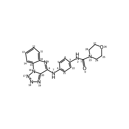 O=C(Nc1ccc(Nc2nc3ccccc3n3nnnc23)cc1)N1CCOCC1